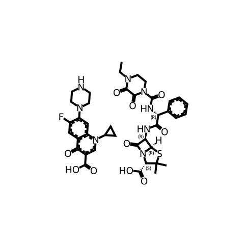 CCN1CCN(C(=O)N[C@@H](C(=O)N[C@@H]2C(=O)N3[C@@H]2SC(C)(C)[C@@H]3C(=O)O)c2ccccc2)C(=O)C1=O.O=C(O)c1cn(C2CC2)c2cc(N3CCNCC3)c(F)cc2c1=O